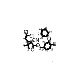 CC1(C)C(C=C(Cl)Cl)C1(C#N)C(=O)OCc1ccc(F)c(Oc2ccccc2)c1